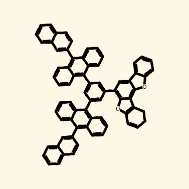 C1=Cc2oc3c(-c4cc(-c5c6ccccc6c(-c6ccc7ccccc7c6)c6ccccc56)cc(-c5c6ccccc6c(-c6ccc7ccccc7c6)c6ccccc56)c4)cc4c5ccccc5oc4c3c2CC1